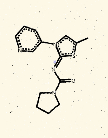 Cc1cn(-c2cccnc2)/c(=N/C(=O)N2CCCC2)s1